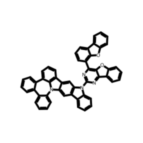 c1ccc2c(c1)-c1ccccc1-n1c3cc4c5ccccc5n(-c5nc(-c6cccc7c6oc6ccccc67)c6oc7ccccc7c6n5)c4cc3c3cccc-2c31